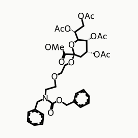 COC(=O)[C@@]1(OCCOCCN(Cc2ccccc2)C(=O)OCc2ccccc2)C[C@@H](OC(C)=O)[C@@H](OC(C)=O)C([C@@H](COC(C)=O)OC(C)=O)O1